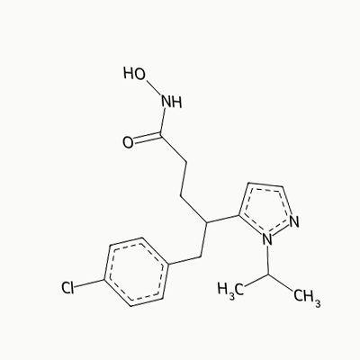 CC(C)n1nccc1C(CCC(=O)NO)Cc1ccc(Cl)cc1